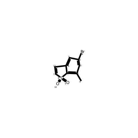 Cc1cc(Br)cc2c1S(=O)(=O)C=C2